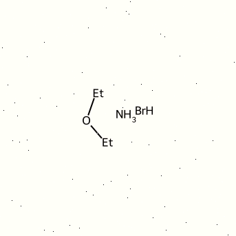 Br.CCOCC.N